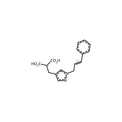 O=C(O)C(Cc1cnn(C/C=C/c2ccccc2)c1)C(=O)O